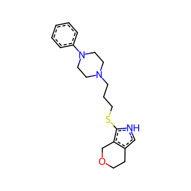 c1ccc(N2CCN(CCCSc3[nH]cc4c3COCC4)CC2)cc1